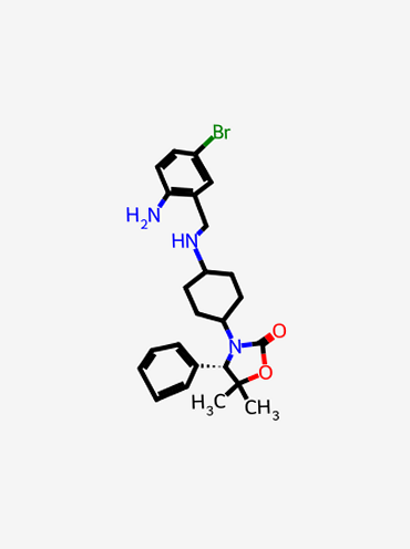 CC1(C)OC(=O)N(C2CCC(NCc3cc(Br)ccc3N)CC2)[C@H]1c1ccccc1